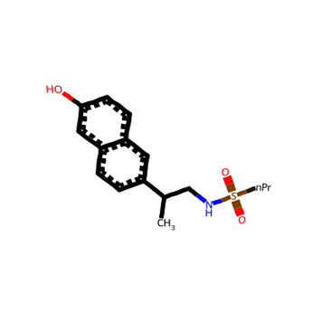 CCCS(=O)(=O)NCC(C)c1ccc2cc(O)ccc2c1